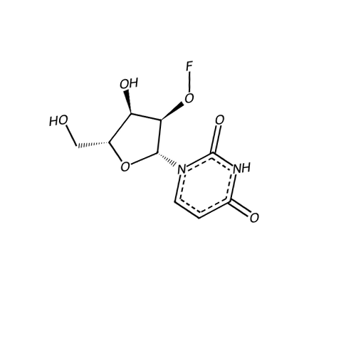 O=c1ccn([C@@H]2O[C@H](CO)[C@@H](O)[C@H]2OF)c(=O)[nH]1